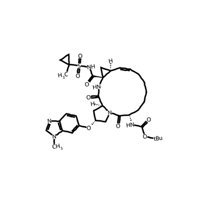 Cn1cnc2ccc(O[C@@H]3C[C@H]4C(=O)N[C@]5(C(=O)NS(=O)(=O)C6(C)CC6)C[C@H]5/C=C\CCCCC[C@H](NC(=O)OC(C)(C)C)C(=O)N4C3)cc21